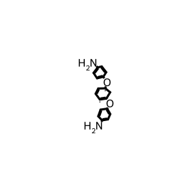 Nc1ccc(O[C]2C=C[C]=C(Oc3ccc(N)cc3)C2)cc1